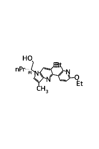 CCC[C@H](CO)n1cc(C)c2nc(-c3ccc(OCC)nc3CC)c(CC)cc21